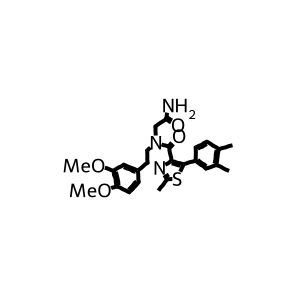 COc1ccc(CCN(CC(N)=O)C(=O)c2nc(C)sc2-c2ccc(C)c(C)c2)cc1OC